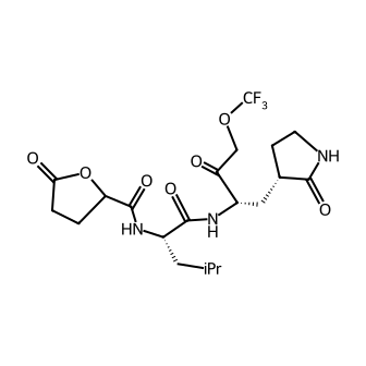 CC(C)C[C@H](NC(=O)C1CCC(=O)O1)C(=O)N[C@@H](C[C@@H]1CCNC1=O)C(=O)COC(F)(F)F